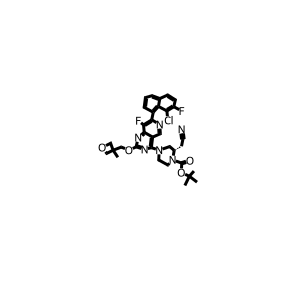 CC1(COc2nc(N3CCN(C(=O)OC(C)(C)C)[C@@H](CC#N)C3)c3cnc(-c4cccc5ccc(F)c(Cl)c45)c(F)c3n2)COC1